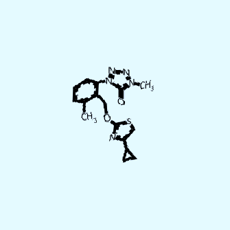 Cc1cccc(-n2nnn(C)c2=O)c1COc1nc(C2CC2)cs1